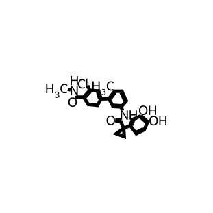 CNC(=O)C1=C(Cl)C=C(c2cc(NC(=O)C3(c4ccc(O)c(O)c4)CC3)ccc2C)CC1